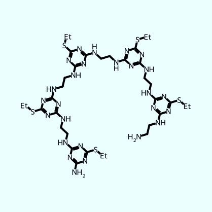 CCSc1nc(N)nc(NCCNc2nc(NCCNc3nc(NCCNc4nc(NCCNc5nc(NCCN)nc(SCC)n5)nc(SCC)n4)nc(SCC)n3)nc(SCC)n2)n1